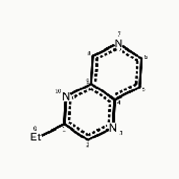 CCc1cnc2ccncc2n1